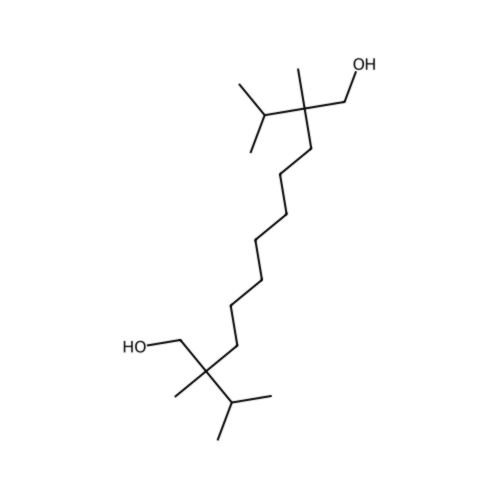 CC(C)C(C)(CO)CCCCCCCC(C)(CO)C(C)C